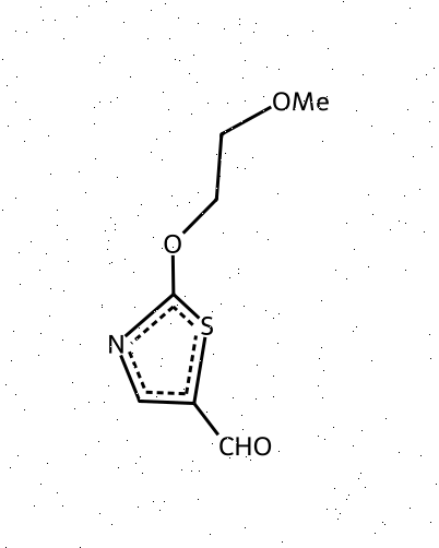 COCCOc1ncc(C=O)s1